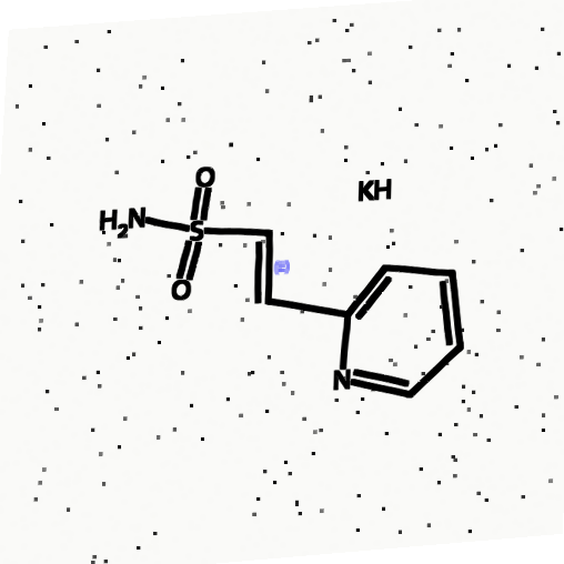 NS(=O)(=O)/C=C/c1ccccn1.[KH]